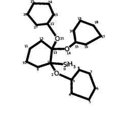 [SiH3]C1(OC2CCCCC2)CCCCC1(OC1CCCCC1)OC1CCCCC1